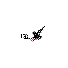 C=C(CCCCCCOc1ccc(N=Nc2ccccc2C(=O)OC(=Cc2ccc(OCCCCCC)cc2)C(=O)c2ccccc2)cc1)C(=O)O